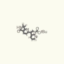 CC(C)(C)OC(=O)n1cc(-c2ccc3c(n2)C(C)(C)NC3=O)c2cccnc21